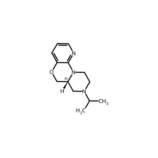 CC(C)N1CCN2c3ncccc3OC[C@H]2C1